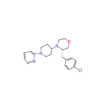 Clc1ccc(C[C@H]2COCCN2C2CCN(c3ccccn3)CC2)cc1